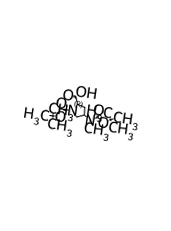 CN(C(=O)OC(C)(C)C)C1C[C@H](C(=O)O)N(C(=O)OC(C)(C)C)C1